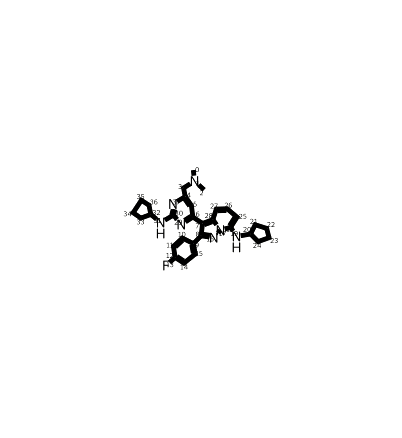 CN(C)Cc1cc(-c2c(-c3ccc(F)cc3)nn3c(NC4CCCC4)cccc23)nc(NC2CCCC2)n1